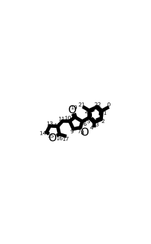 Cc1cc(C)c(C2C(=O)CC(CC3CCOC3C)C2=O)c(C)c1